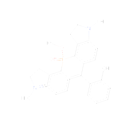 CCOP1(=O)c2c(ccc3c2CCN3C)C(c2ccccc2C)=c2ccc3c(c21)CC[N+]=3C